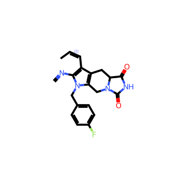 C=Nc1c(/C=C\C)c2c(n1Cc1ccc(F)cc1)CN1C(=O)NC(=O)C1C2